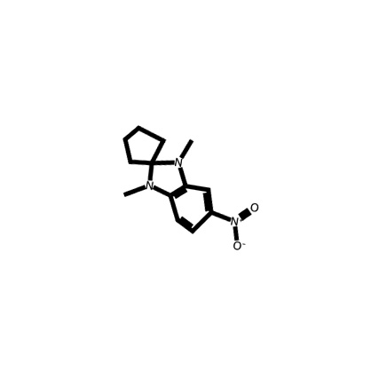 CN1c2ccc([N+](=O)[O-])cc2N(C)C12CCCC2